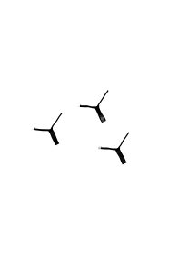 CC(=O)[O-].CC(=O)[O-].CC(=O)[O-].[Y+3]